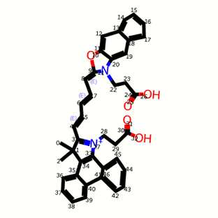 CC1(C)C(/C=C/C=C/C=C2/Oc3cc4ccccc4cc3N2CCC(=O)O)=[N+](CCC(=O)O)c2c1c1ccccc1c1ccccc21